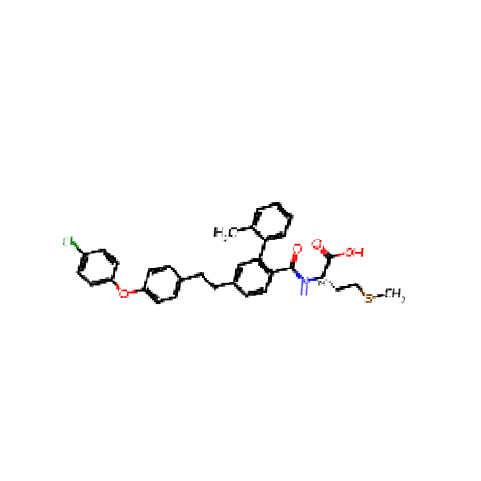 CSCC[C@H](NC(=O)c1ccc(CCc2ccc(Oc3ccc(Cl)cc3)cc2)cc1-c1ccccc1C)C(=O)O